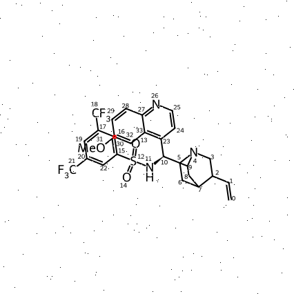 C=CC1CN2CCC1CC2[C@@H](NS(=O)(=O)c1cc(C(F)(F)F)cc(C(F)(F)F)c1)c1ccnc2ccc(OC)cc12